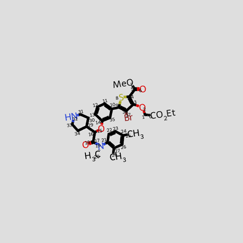 CCOC(=O)COc1c(C(=O)OC)sc(-c2cccc(OC(C(=O)N(C)c3ccc(C)cc3C)C3CCNCC3)c2)c1Br